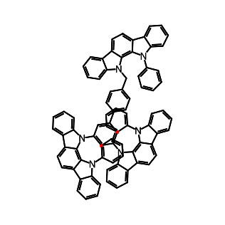 c1ccc(-n2c3ccccc3c3ccc4c5ccccc5n(Cc5ccc(-c6cc(-n7c8ccccc8c8ccc9c%10ccccc%10n(-c%10ccccc%10)c9c87)cc(-n7c8ccccc8c8ccc9c%10ccccc%10n(-c%10ccccc%10)c9c87)c6)cc5)c4c32)cc1